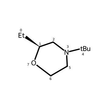 CC[C@H]1CN(C(C)(C)C)CCO1